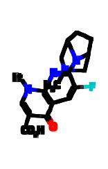 CCn1cc(C(=O)O)c(=O)c2cc(F)c(N3C4CCC3CN(C)C4)nc21